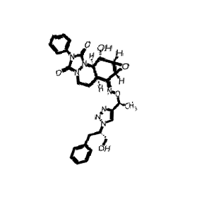 C[C@H](O/N=C1/[C@H]2CCn3c(=O)n(-c4ccccc4)c(=O)n3[C@H]2[C@H](O)[C@@H]2O[C@H]12)c1cn([C@H](CO)Cc2ccccc2)nn1